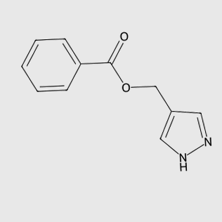 O=C(OCc1cn[nH]c1)c1ccccc1